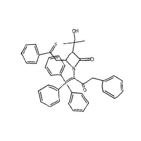 CC(C)(O)C1C(=O)N(C(C(=O)Cc2ccccc2)=P(c2ccccc2)(c2ccccc2)c2ccccc2)C1CC(=S)c1ccccc1